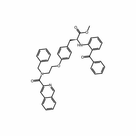 COC(=O)[C@H](Cc1ccc(OCCN(Cc2ccccc2)C(=O)c2cc3ccccc3cn2)cc1)Nc1ccccc1C(=O)c1ccccc1